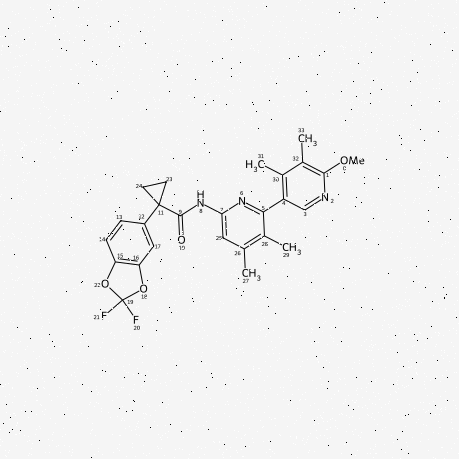 COc1ncc(-c2nc(NC(=O)C3(c4ccc5c(c4)OC(F)(F)O5)CC3)cc(C)c2C)c(C)c1C